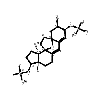 CC[Si](CC)(CC)O[C@H]1C=C2C=C3CC[C@]4(C)[C@@H](O[Si](C)(C)C(C)(C)C)CC[C@H]4[C@@]34CC[C@]2(C[C@H]1Br)O4